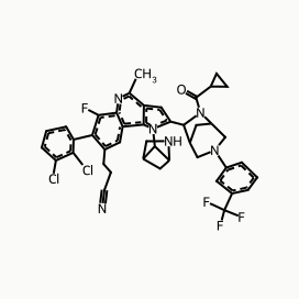 Cc1nc2c(F)c(-c3cccc(Cl)c3Cl)c(CCC#N)cc2c2c1cc(C1C3CC(CN(c4cccc(C(F)(F)F)c4)C3)N1C(=O)C1CC1)n2C1C2CNC1C2